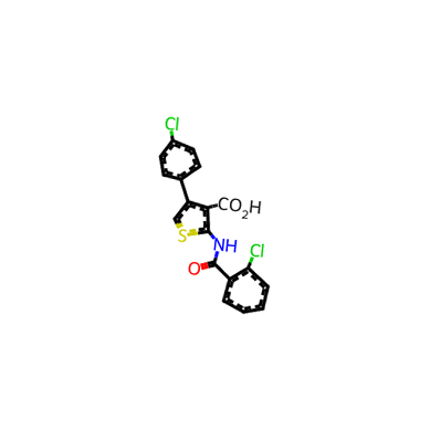 O=C(Nc1scc(-c2ccc(Cl)cc2)c1C(=O)O)c1ccccc1Cl